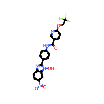 O=C(Nc1ccc(-c2nc3ccc([N+](=O)[O-])cc3n2O)cc1)c1ccc(OCC(F)(F)F)nc1